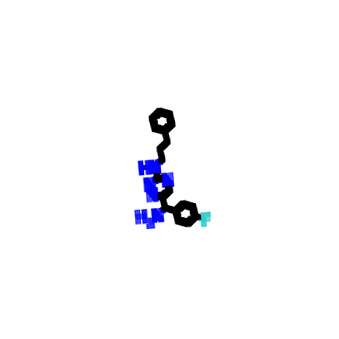 NC(c1ccc(F)cc1)c1cnc(NCCCc2ccccc2)nn1